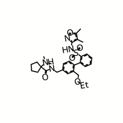 CCOCc1cc(CNC(=O)C2(N(C)C)CCCC2)ccc1-c1ccccc1S(=O)(=O)Nc1noc(C)c1C